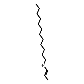 CC=C[P]CCCCCCCCCCCC